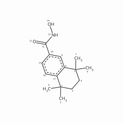 CC1(C)CCC(C)(C)c2cc(C(=O)NO)ccc21